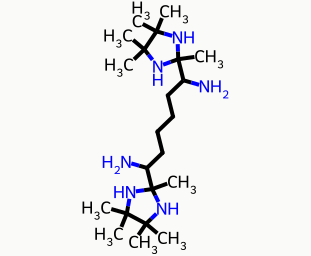 CC1(C(N)CCCCC(N)C2(C)NC(C)(C)C(C)(C)N2)NC(C)(C)C(C)(C)N1